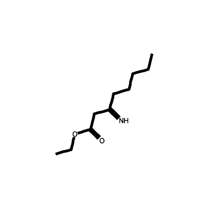 CCCCCC(=N)CC(=O)OCC